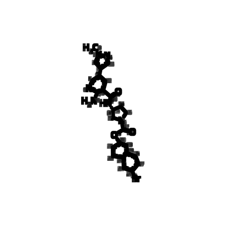 Cn1cc(-c2cnc(N)c(C(=O)N[C@@H]3CCN(C(=O)Oc4ccc5cc(Br)ccc5c4)C3)c2)cn1